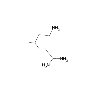 CC(CCN)CCC(N)N